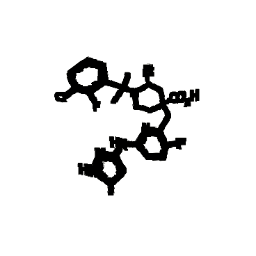 CC[C@@H]1C[C@](Cc2nc(Nc3cc(C)[nH]n3)ccc2F)(C(=O)O)CCN1C(C)(C)c1cccc(Cl)c1F